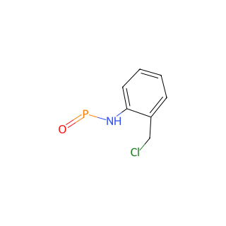 O=PNc1ccccc1CCl